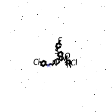 O=C(c1ccnc(Cl)c1)N1CC2(CCN(C/C=C/c3ccc(Cl)cc3)CC2)c2cc(Sc3ccc(F)cc3)ccc21